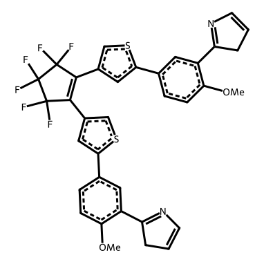 COc1ccc(-c2cc(C3=C(c4csc(-c5ccc(OC)c(C6=NC=CC6)c5)c4)C(F)(F)C(F)(F)C3(F)F)cs2)cc1C1=NC=CC1